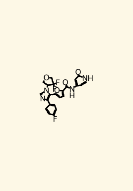 O=C(Nc1cc[nH]c(=O)c1)c1ccc(-c2c(-c3ccc(F)cc3)ncn2C2COCC2(F)F)o1